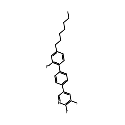 CCCCCCCc1ccc(-c2ccc(-c3cnc(F)c(F)c3)cc2)c(F)c1